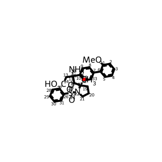 COc1ccccc1-c1ccc([C@](N)(CC(=O)O)C(=O)[C@]2(C)CCCN2S(=O)(=O)c2ccccc2)cc1